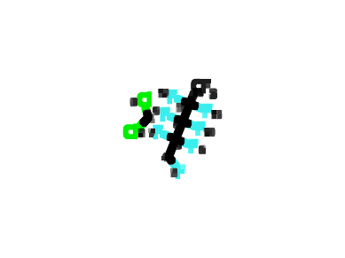 ClCCl.FCC(F)(F)C(F)(F)C(F)(F)C(F)(F)F